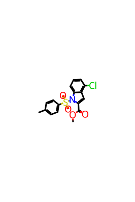 COC(=O)c1cc2c(Cl)cccc2n1S(=O)(=O)c1ccc(C)cc1